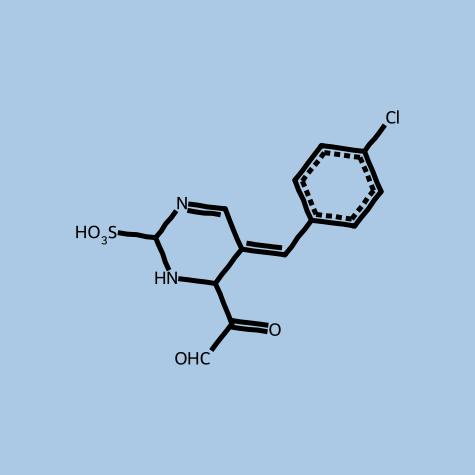 O=CC(=O)C1NC(S(=O)(=O)O)N=CC1=Cc1ccc(Cl)cc1